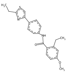 CCc1nc(-c2ccc(NC(=O)c3ccc(OC)cc3CC)cc2)cs1